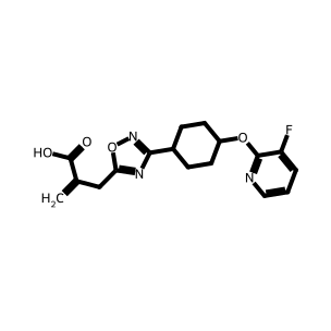 C=C(Cc1nc(C2CCC(Oc3ncccc3F)CC2)no1)C(=O)O